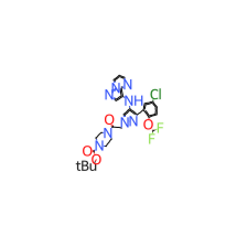 CC(C)(C)OC(=O)N1CCN(C(=O)Cn2cc(Nc3cnn4cccnc34)c(-c3cc(Cl)ccc3OC(F)F)n2)CC1